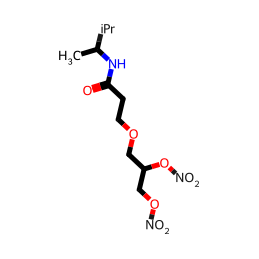 CC(C)C(C)NC(=O)CCOCC(CO[N+](=O)[O-])O[N+](=O)[O-]